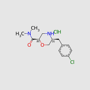 CN(C)C(=O)[C@H]1CN[C@@H](Cc2ccc(Cl)cc2)CO1.Cl